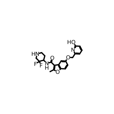 Cc1oc2ccc(OCc3cccc(O)n3)cc2c1C(=O)NC1CCNCC1(F)F